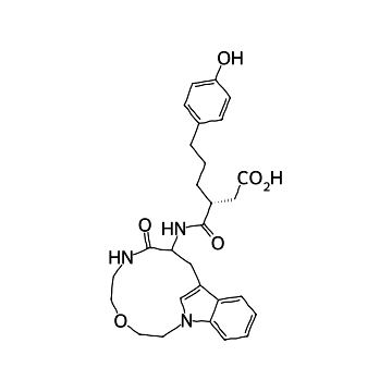 O=C(O)C[C@@H](CCCc1ccc(O)cc1)C(=O)NC1Cc2cn(c3ccccc23)CCOCCNC1=O